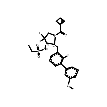 CCS(=O)(=O)N[C@@H]1[C@H](Cc2cccc(-c3cccc(OC)n3)c2F)N(C(=O)C23CC(C2)C3)CC1(F)F